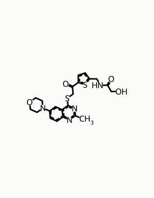 Cc1nc(SCC(=O)c2ccc(CNC(=O)CO)s2)c2cc(N3CCOCC3)ccc2n1